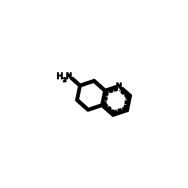 NC1CCc2cccnc2C1